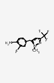 Cn1nc(C(F)(F)F)cc1-c1ccc(N)c(F)c1